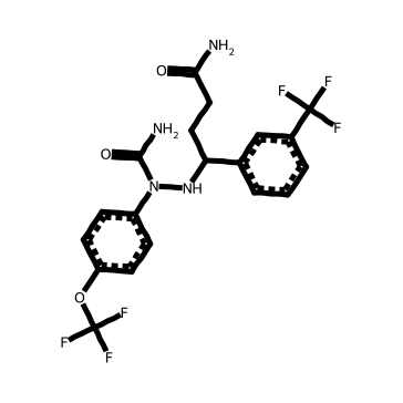 NC(=O)CCC(NN(C(N)=O)c1ccc(OC(F)(F)F)cc1)c1cccc(C(F)(F)F)c1